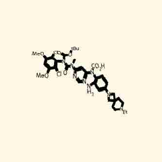 CCN1CCC2(CC1)CN(c1ccc(N(C(=O)O)c3cc(N(C)C(=O)N(C(=O)OC(C)(C)C)c4c(Cl)c(OC)cc(OC)c4Cl)ncn3)c(N)c1)C2